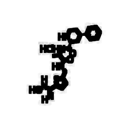 Cl.[H]/N=C(\NO)c1ccc(CNC(=O)C(C)NC(=O)[C@H]2C[C@@H](c3ccccc3)CCN2)s1